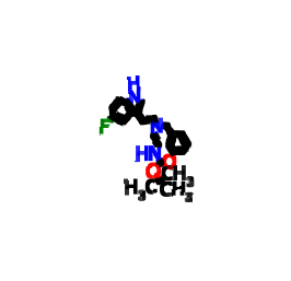 CC(C)(C)OC(=O)NCCN(CCc1c[nH]c2ccc(F)cc12)Cc1ccccc1